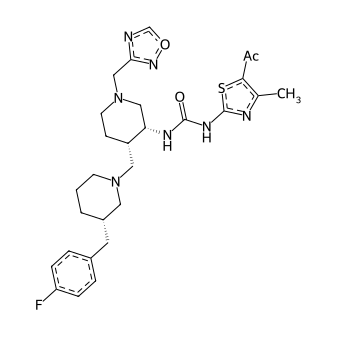 CC(=O)c1sc(NC(=O)N[C@H]2CN(Cc3ncon3)CC[C@H]2CN2CCC[C@@H](Cc3ccc(F)cc3)C2)nc1C